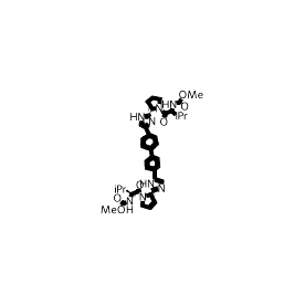 COC(=O)NC(C(=O)N1CCC[C@H]1c1nc(-c2ccc(-c3ccc(-c4cnc([C@@H]5C=CCN5C(=O)[C@@H](NC(=O)OC)C(C)C)[nH]4)cc3)cc2)c[nH]1)C(C)C